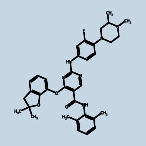 Cc1cccc(C)c1NC(=O)c1cnc(Nc2ccc(N3CCN(C)C(C)C3)c(F)c2)nc1Oc1cccc2c1OC(C)(C)C2